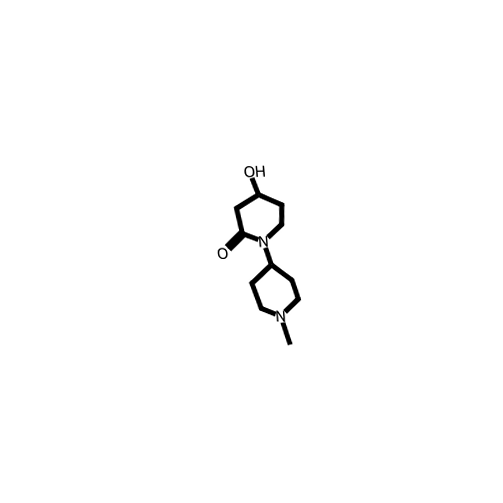 CN1CCC(N2CCC(O)CC2=O)CC1